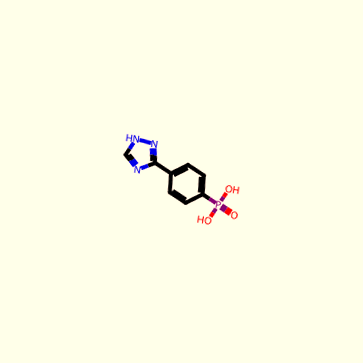 O=P(O)(O)c1ccc(-c2nc[nH]n2)cc1